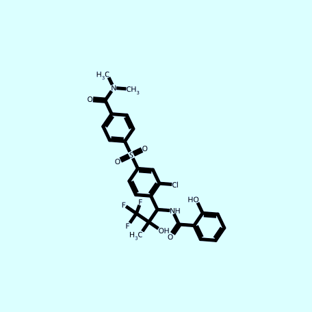 CN(C)C(=O)c1ccc(S(=O)(=O)c2ccc(C(NC(=O)c3ccccc3O)C(C)(O)C(F)(F)F)c(Cl)c2)cc1